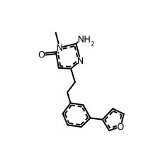 Cn1c(N)nc(CCc2cccc(-c3ccoc3)c2)cc1=O